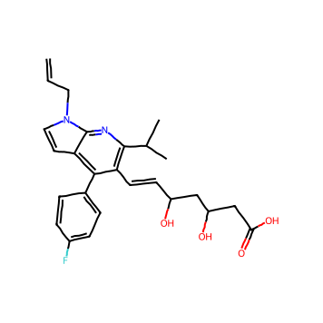 C=CCn1ccc2c(-c3ccc(F)cc3)c(C=CC(O)CC(O)CC(=O)O)c(C(C)C)nc21